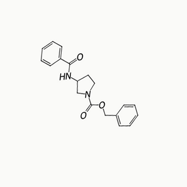 O=C(NC1CCN(C(=O)OCc2ccccc2)C1)c1ccccc1